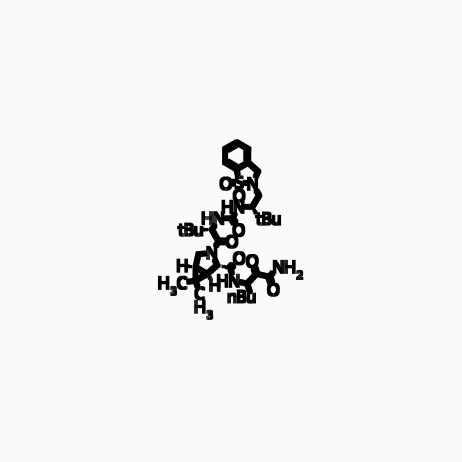 CCCCC(NC(=O)[C@@H]1[C@@H]2[C@H](CN1C(=O)[C@@H](NC(=O)N[C@H](CN1Cc3ccccc3S1(=O)=O)C(C)(C)C)C(C)(C)C)C2(C)C)C(=O)C(N)=O